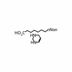 C1=CNCNC1.CCCCCCCCCCCCCCCC(=O)O